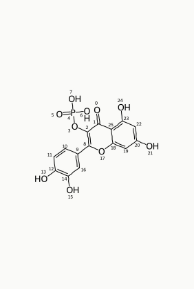 O=c1c(OP(=O)(O)O)c(-c2ccc(O)c(O)c2)oc2cc(O)cc(O)c12